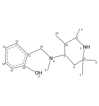 CC1NC(C)(C)CC(N(C)Cc2ccccc2O)C1C